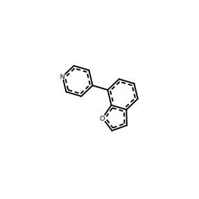 [c]1cc2cccc(-c3ccncc3)c2o1